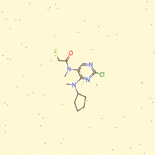 CN(C(=O)CF)c1cnc(Cl)nc1N(C)C1CCCC1